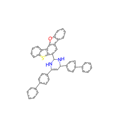 C1=C(c2ccc(-c3ccccc3)cc2)NC(c2cc3c4ccccc4oc3c3c2sc2ccccc23)NC1c1ccc(-c2ccccc2)cc1